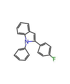 Fc1ccc(-c2cc3ccccc3n2-c2ccccc2)cc1